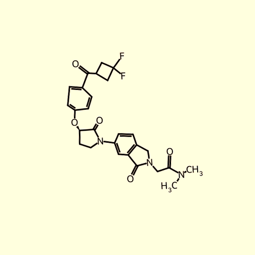 CN(C)C(=O)CN1Cc2ccc(N3CC[C@@H](Oc4ccc(C(=O)C5CC(F)(F)C5)cc4)C3=O)cc2C1=O